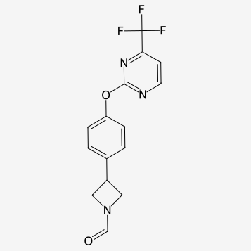 O=CN1CC(c2ccc(Oc3nccc(C(F)(F)F)n3)cc2)C1